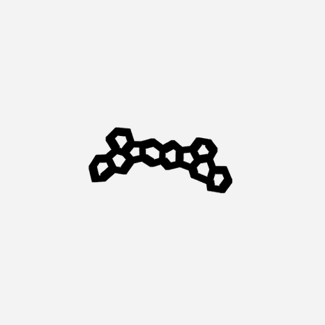 c1ccc2c(c1)cc1c3cc4cc5c(cc4cc3c3cccc2c31)c1cccc2c3ccccc3cc5c21